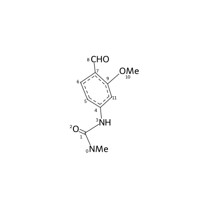 CNC(=O)Nc1ccc(C=O)c(OC)c1